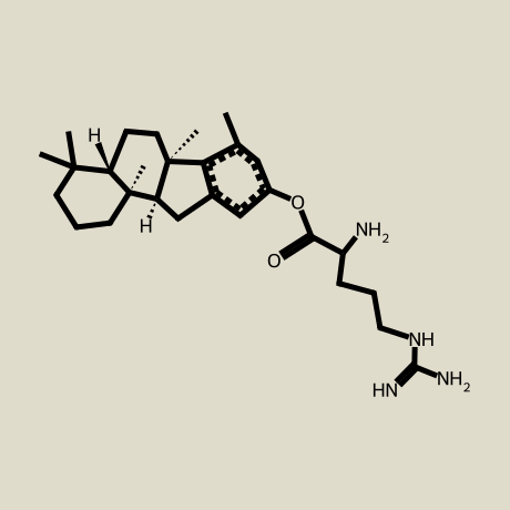 Cc1cc(OC(=O)C(N)CCCNC(=N)N)cc2c1[C@]1(C)CC[C@H]3C(C)(C)CCC[C@]3(C)[C@@H]1C2